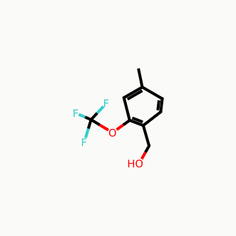 Cc1ccc(CO)c(OC(F)(F)F)c1